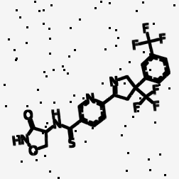 O=C1NOCC1NC(=S)c1ccc(C2=NCC(c3cccc(C(F)(F)F)c3)(C(F)(F)F)C2)nc1